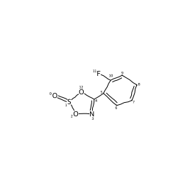 O=S1ON=C(c2ccccc2F)O1